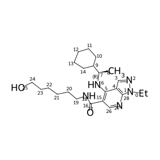 CCn1ncc2c(N[C@H](C)C3CCCCC3)c(C(=O)NCCCCCCO)cnc21